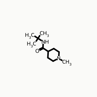 CN1CCC(C(=O)NC(C)(C)C)CC1